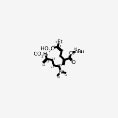 C=C(CC=C(CC)C(=O)O)C(=O)OCCCC.C=C(CCCN(C)C)C(=O)O